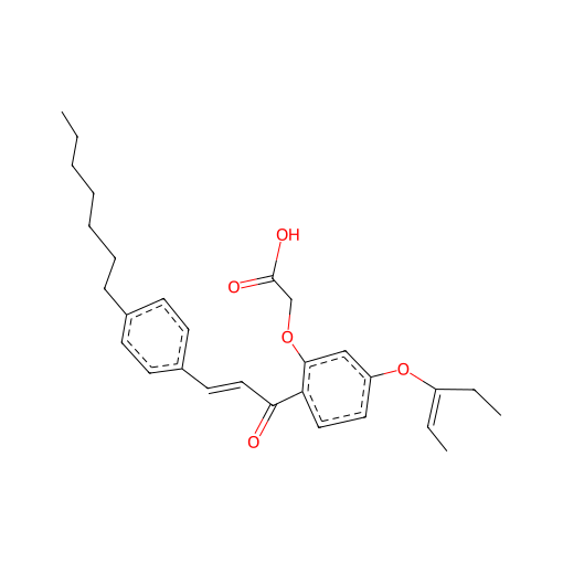 CC=C(CC)Oc1ccc(C(=O)C=Cc2ccc(CCCCCCC)cc2)c(OCC(=O)O)c1